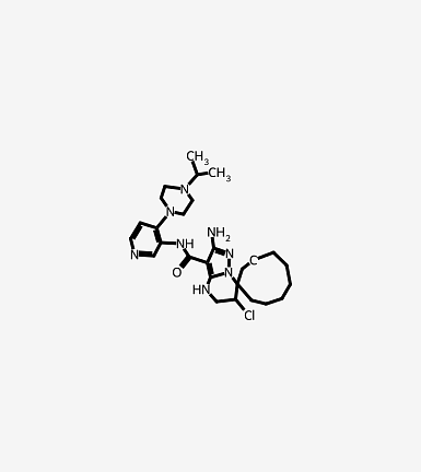 CC(C)N1CCN(c2ccncc2NC(=O)c2c(N)nn3c2NCC(Cl)C32CCCCCCCC2)CC1